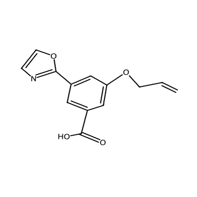 C=CCOc1cc(C(=O)O)cc(-c2ncco2)c1